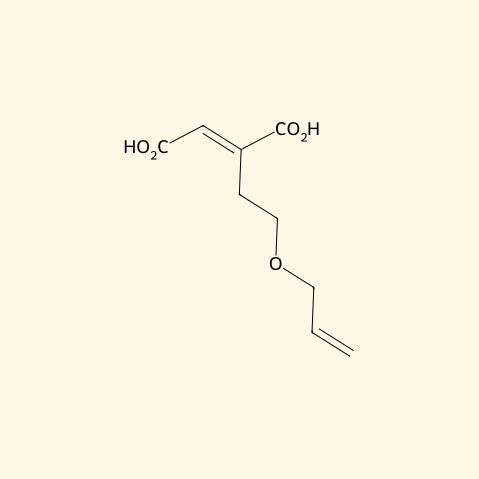 C=CCOCC/C(=C\C(=O)O)C(=O)O